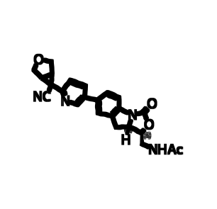 CC(=O)NC[C@@H]1OC(=O)N2c3ccc(-c4ccc(C5(C#N)C6COCC65)nc4)cc3C[C@@H]12